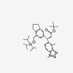 Cc1c([C@H](CC(=O)OC(C)(C)C)c2cc3c(c(CO[Si](C(C)C)(C(C)C)C(C)C)c2)CCC3)ccc2c1nnn2C